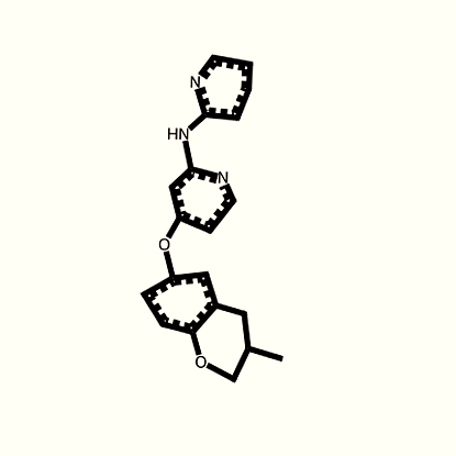 CC1COc2ccc(Oc3ccnc(Nc4ccccn4)c3)cc2C1